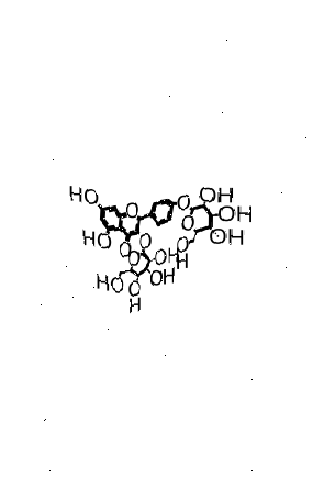 O=c1c(OC2O[C@H](CO)[C@@H](O)[C@H](O)[C@H]2O)c(-c2ccc(OC3O[C@H](CO)[C@@H](O)[C@H](O)[C@H]3O)cc2)oc2cc(O)cc(O)c12